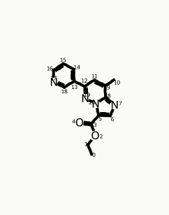 CCOC(=O)c1cnc2c(C)cc(-c3cccnc3)nn12